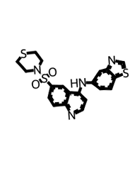 O=S(=O)(c1ccc2nccc(Nc3ccc4scnc4c3)c2c1)N1CCSCC1